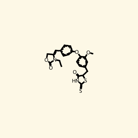 CCN1C(=O)OC/C1=C/c1ccc(Oc2ccc(CC3SC(=S)NC3=O)cc2OC)cc1